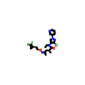 CCN(C(=O)C(C)C/C(C)=N\OCCC1CC1(F)F)c1cn(-c2cccnc2)nc1Cl